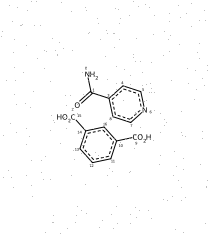 NC(=O)c1ccncc1.O=C(O)c1cccc(C(=O)O)c1